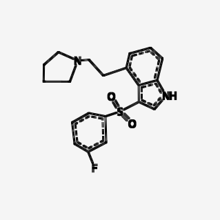 O=S(=O)(c1cccc(F)c1)c1c[nH]c2cccc(CCN3CCCC3)c12